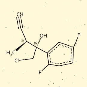 C#C[C@H](C)[C@](O)(CCl)c1cc(F)ccc1F